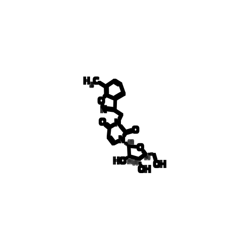 Cc1cccc2c(Cn3c(=O)ccn([C@@H]4O[C@H](CO)[C@H](O)[C@@H]4O)c3=O)noc12